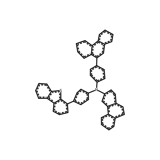 c1ccc2c(c1)ccc1ccc(N(c3ccc(-c4cc5ccccc5c5ccccc45)cc3)c3ccc(-c4cccc5c4sc4ccccc45)cc3)cc12